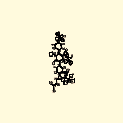 COc1c(OS(C)(=O)=O)c(-c2ccc(OCC=C(C)C)c(N(C)C(=O)C(Cl)(Cl)Cl)c2)c(C)c(Cl)c1-c1ccc(OS(C)(=O)=O)cc1